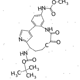 COC(=O)Nc1ccc2c(c1)NC(=O)C(=O)CCC[C@H](NC(=O)OC(C)(C)C)c1cc-2ccn1